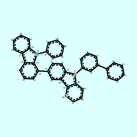 c1ccc(-c2cccc(-n3c4ccc(-c5cccc6c7ccccc7n(-c7ccccc7)c56)cc4c4ncccc43)c2)cc1